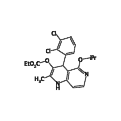 CCOC(=O)OC1=C(C)Nc2ccnc(OC(C)C)c2C1c1cccc(Cl)c1Cl